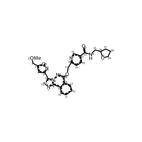 COCc1cc(-c2nnc3c4ccccc4c(OCc4ccc(C(=O)NCC5CCCO5)cn4)nn23)no1